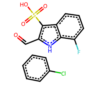 Clc1ccccc1.O=Cc1[nH]c2c(F)cccc2c1S(=O)(=O)O